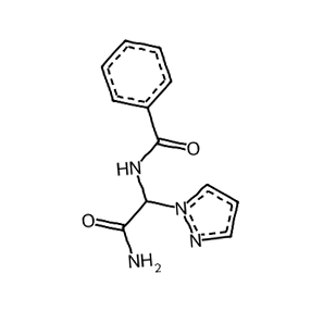 NC(=O)C(NC(=O)c1ccccc1)n1cccn1